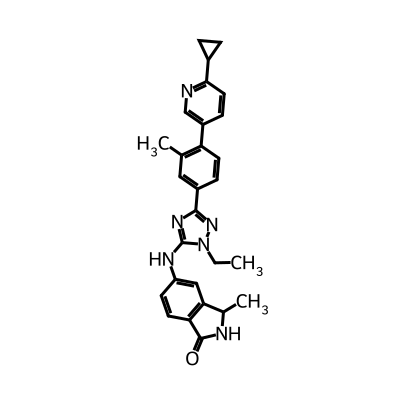 CCn1nc(-c2ccc(-c3ccc(C4CC4)nc3)c(C)c2)nc1Nc1ccc2c(c1)C(C)NC2=O